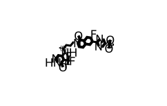 C[C@@H](CCCn1ccc2cc(-c3ncc(S(C)(=O)=O)cn3)c(F)cc2c1=O)Nc1cn[nH]c(=O)c1C(F)(F)F